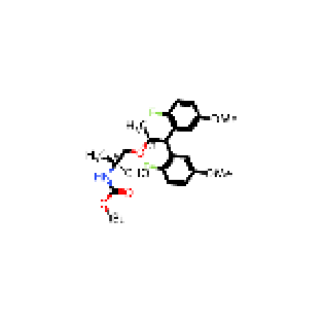 COc1ccc(F)c(C(c2cc(OC)ccc2F)[C@H](C)OC[C@@](C)(C=O)NC(=O)OC(C)(C)C)c1